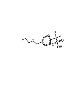 CCCOCc1ccc(C(F)(F)S(=O)(=O)O)cc1